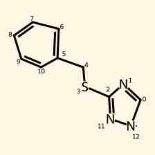 C1=NC(SCc2ccccc2)=N[N]1